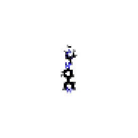 C=N\C=C/C(/C=N/c1ccc(-c2ccncc2)cc1)=C\C